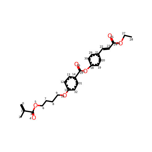 C=C(C)C(=O)OCCCCOc1ccc(C(=O)Oc2ccc(/C=C/C(=O)OCC)cc2)cc1